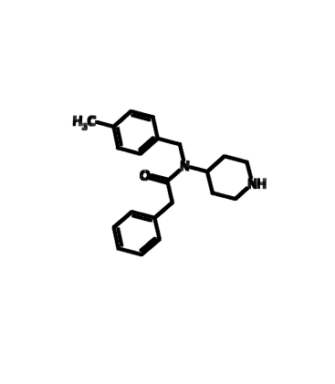 Cc1ccc(CN(C(=O)Cc2ccccc2)C2CCNCC2)cc1